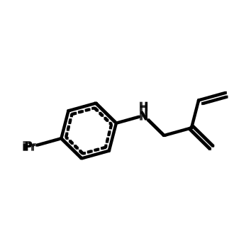 C=CC(=C)CNc1ccc(C(C)C)cc1